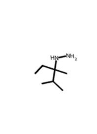 CCC(C)(NN)C(C)C